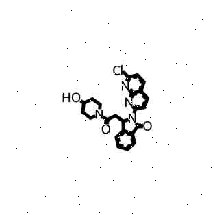 O=C(CC1c2ccccc2C(=O)N1c1ccc2ccc(Cl)nc2n1)N1CCC(O)CC1